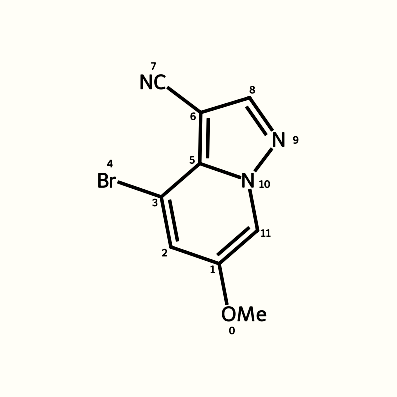 COc1cc(Br)c2c(C#N)cnn2c1